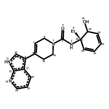 CC[C@]1(NC(=O)N2CC=C(c3c[nH]c4ncccc34)CC2)C=CC=CC1O